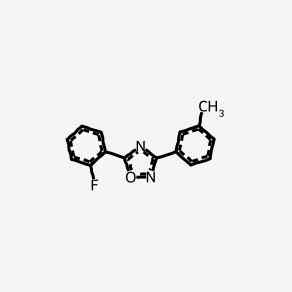 Cc1cccc(-c2noc(-c3ccccc3F)n2)c1